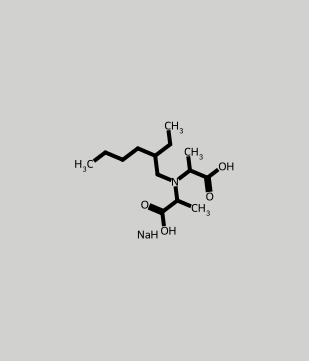 CCCCC(CC)CN(C(C)C(=O)O)C(C)C(=O)O.[NaH]